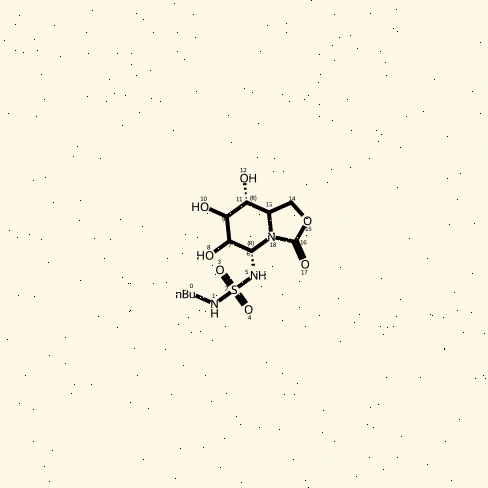 CCCCNS(=O)(=O)N[C@@H]1C(O)C(O)[C@H](O)C2COC(=O)N21